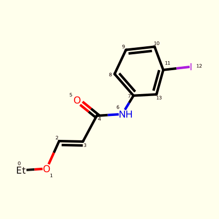 CCOC=CC(=O)Nc1cccc(I)c1